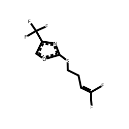 FC(F)=CCCSc1nc(C(F)(F)F)co1